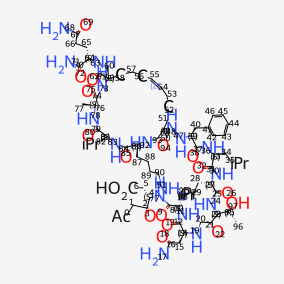 CC(=O)CC(=O)[C@H](CC(=O)O)NC(=O)[C@@H](NC(=O)[C@H](CC(N)=O)NCC(=O)[C@@H](NC(=O)[C@H](CC(C)C)NC(=O)[C@H](CC(C)C)NC(=O)[C@H](Cc1ccccc1)NN[C@@]1(C)CCC/C=C\CCC[C@@](C)(C(=O)N[C@@H](CCC(N)=O)C(N)=O)NC(=O)[C@H](C)NC(=O)[C@H](C(C)C)NC(=O)[C@H](CCCCN)NC1=O)[C@@H](C)O)C(C)C